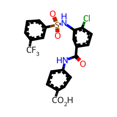 O=C(O)c1ccc(NC(=O)c2ccc(Cl)c(NS(=O)(=O)c3cccc(C(F)(F)F)c3)c2)cc1